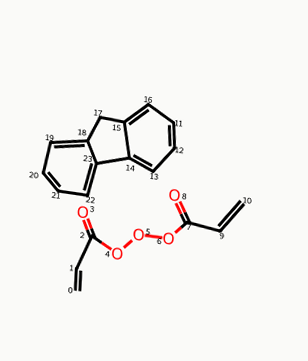 C=CC(=O)OOOC(=O)C=C.c1ccc2c(c1)Cc1ccccc1-2